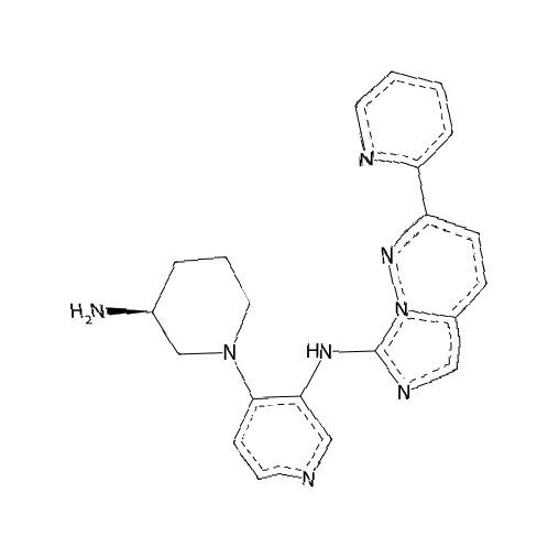 N[C@H]1CCCN(c2ccncc2Nc2ncc3ccc(-c4ccccn4)nn23)C1